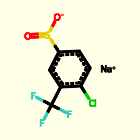 O=S([O-])c1ccc(Cl)c(C(F)(F)F)c1.[Na+]